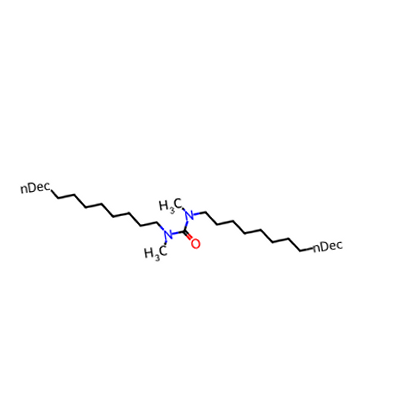 CCCCCCCCCCCCCCCCCCN(C)C(=O)N(C)CCCCCCCCCCCCCCCCCC